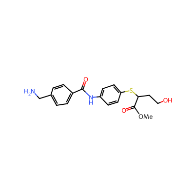 COC(=O)C(CCO)Sc1ccc(NC(=O)c2ccc(CN)cc2)cc1